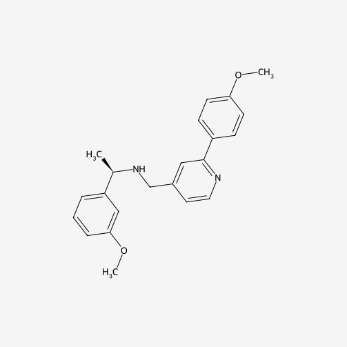 COc1ccc(-c2cc(CN[C@H](C)c3cccc(OC)c3)ccn2)cc1